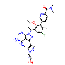 C=Nc1c(/C(N)=N\C)c(-c2cnn(/C=C/O)c2)nn1C(C)c1cc(Cl)c(C)c(-c2ccc(C(=O)N(C)C)nc2)c1OCC